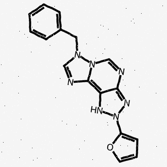 C1=NC2=NN(c3ccco3)NC2=C2N=CN(Cc3ccccc3)N12